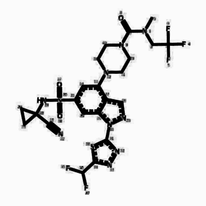 CN(CC(F)(F)F)C(=O)N1CCN(c2cc(S(=O)(=O)NC3(C#N)CC3)cc3c2cnn3-c2nnc(C(F)F)s2)CC1